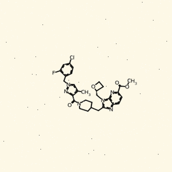 COC(=O)c1ccc2nc(CC3CCN(C(=O)c4nn(Cc5ccc(Cl)cc5F)cc4C)CC3)n(C[C@@H]3CCO3)c2n1